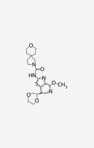 COc1ncc([C@@H]2COCCO2)c2sc(NC(=O)N3CCC4(CCOCC4)C3)nc12